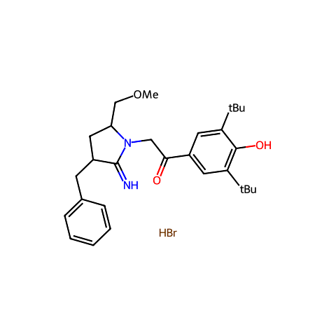 Br.COCC1CC(Cc2ccccc2)C(=N)N1CC(=O)c1cc(C(C)(C)C)c(O)c(C(C)(C)C)c1